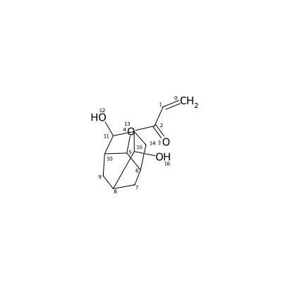 C=CC(=O)OC1C2CC3CC1C(O)C(C2)C3O